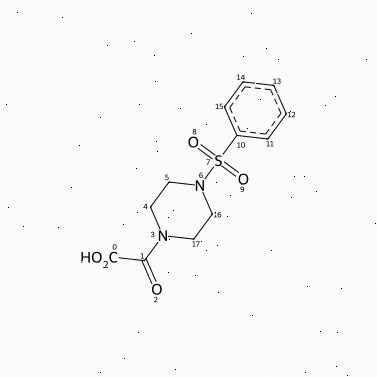 O=C(O)C(=O)N1CCN(S(=O)(=O)c2ccccc2)CC1